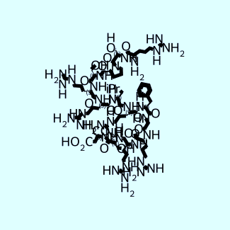 CC(C)C[C@H](NC(=O)[C@H](CCCNC(=N)N)NC(=O)[C@H](CCCNC(=N)N)NC(=O)[C@H](CO)NC(=O)[C@@H]1CCCN1C(=O)[C@H](CO)NC(=O)[C@@H](N)CCCNC(=N)N)C(=O)N[C@@H](CCCNC(=N)N)C(=O)N[C@@H](Cc1ccccc1)C(=O)NCC(=O)N[C@@H](CCCNC(=N)N)C(=O)N[C@@H](CCCNC(=N)N)C(=O)N[C@@H](CO)C(=O)N[C@@H](CC(=O)O)C(=O)O